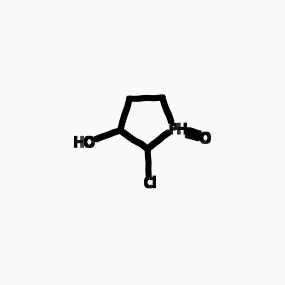 O=[PH]1CCC(O)C1Cl